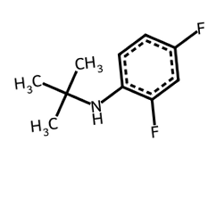 CC(C)(C)Nc1ccc(F)cc1F